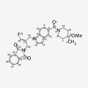 COC1(C)CCN(C(=O)c2ccc3c(ccn3CC(=CF)CN3C(=O)c4ccccc4C3=O)c2)CC1